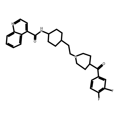 O=C(NC1CCC(CCN2CCC(C(=O)c3ccc(F)c(F)c3)CC2)CC1)c1ccnc2ccccc12